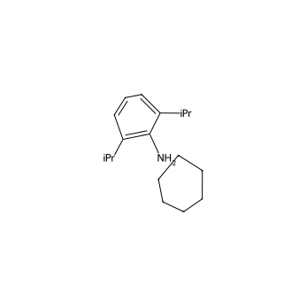 C1CCCCC1.CC(C)c1cccc(C(C)C)c1N